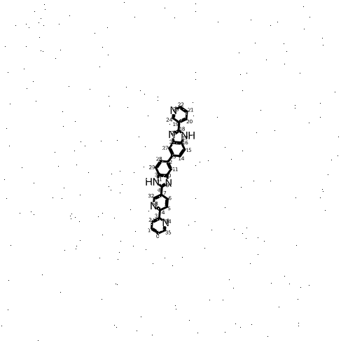 c1ccc(-c2ccc(-c3nc4cc(-c5ccc6[nH]c(-c7cccnc7)nc6c5)ccc4[nH]3)cn2)nc1